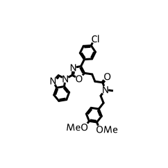 COc1ccc(CCN(C)C(=O)CCc2oc(-n3cnc4ccccc43)nc2-c2ccc(Cl)cc2)cc1OC